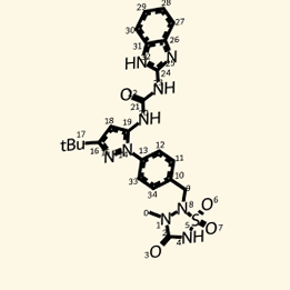 CN1C(=O)NS(=O)(=O)N1Cc1ccc(-n2nc(C(C)(C)C)cc2NC(=O)Nc2nc3ccccc3[nH]2)cc1